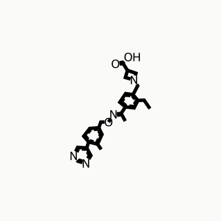 CCc1cc(/C(C)=N/OCc2ccc(-c3cncnc3)c(C)c2)ccc1CN1CC(C(=O)O)C1